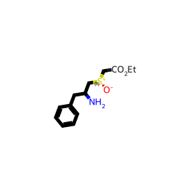 CCOC(=O)C[S@@+]([O-])CC(N)Cc1ccccc1